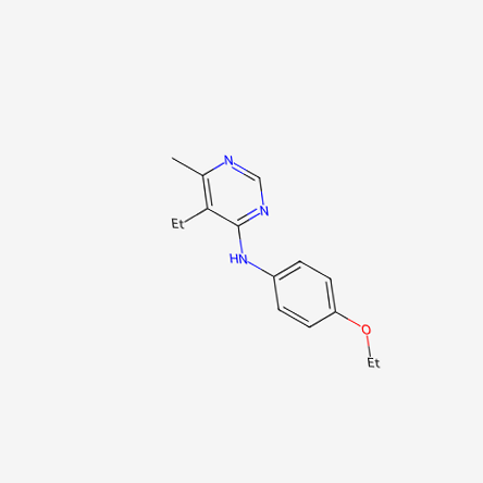 CCOc1ccc(Nc2ncnc(C)c2CC)cc1